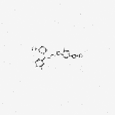 Cc1ccc(C(CCCOc2ccc(C=O)cc2C)c2cccc(Cl)c2)cc1C